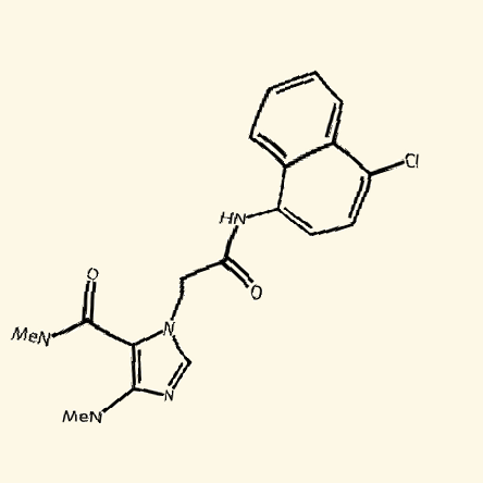 CNC(=O)c1c(NC)ncn1CC(=O)Nc1ccc(Cl)c2ccccc12